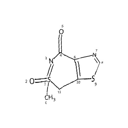 CS1(=O)=NC(=O)c2ncsc2C1